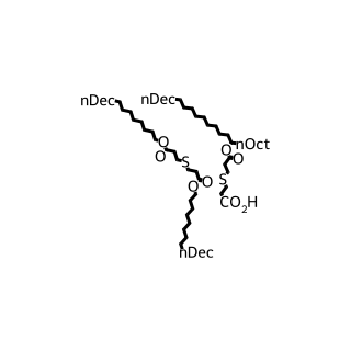 CCCCCCCCCCCCCCCCCCCC(CCCCCCCC)OC(=O)CCSCCC(=O)O.CCCCCCCCCCCCCCCCCCOC(=O)CCSCCC(=O)OCCCCCCCCCCCCCCCCCC